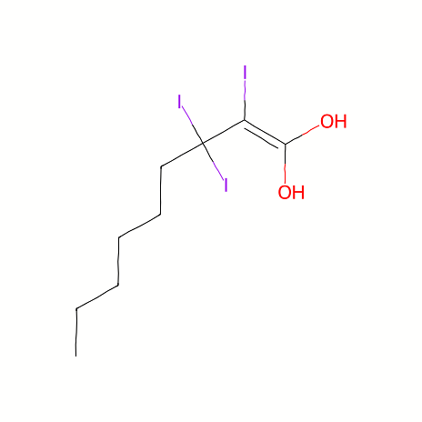 CCCCCCC(I)(I)C(I)=C(O)O